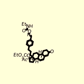 CCNC(=O)O/N=C/c1ccc(CCCC23CC[C@@H]4[C@@H](C=CC5=CC(=O)CC[C@]54C)[C@@H]2CC[C@]3(OC(=O)OCC)C(C)=O)cc1